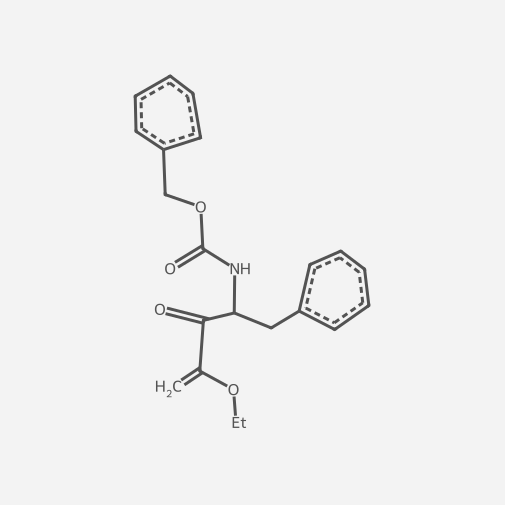 C=C(OCC)C(=O)C(Cc1ccccc1)NC(=O)OCc1ccccc1